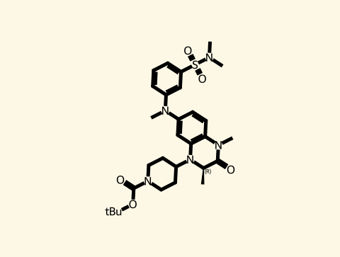 C[C@@H]1C(=O)N(C)c2ccc(N(C)c3cccc(S(=O)(=O)N(C)C)c3)cc2N1C1CCN(C(=O)OC(C)(C)C)CC1